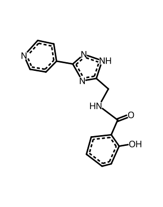 O=C(NCc1nc(-c2ccncc2)n[nH]1)c1ccccc1O